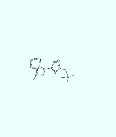 Cn1cc(-c2noc(C[N+](C)(C)C)n2)c2ccccc21